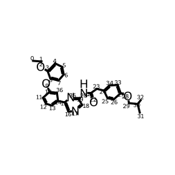 CCOc1ccccc1Oc1cccc(-c2cncc(NC(=O)Cc3ccc(OCC(C)C)cc3)n2)c1